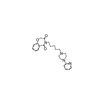 O=C1COc2ccccc2C(=O)N1CCCCCN1CCN(c2ccccn2)CC1